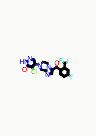 O=C(c1ccc(F)cc1C(F)F)c1cnc2n1CCN(c1cn[nH]c(=O)c1Cl)C2